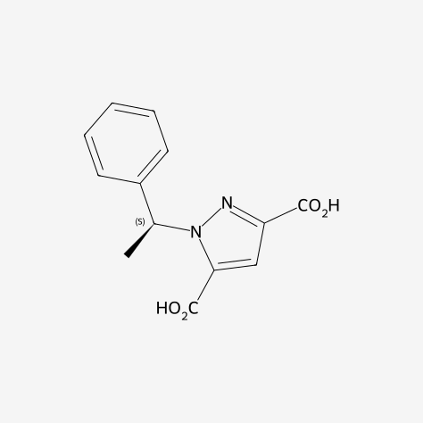 C[C@@H](c1ccccc1)n1nc(C(=O)O)cc1C(=O)O